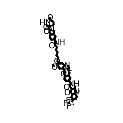 COc1cc2c(Oc3ccc(NC(=O)c4c(C)n(C)c5ccc(OC(F)(F)F)cc5c4=O)cc3F)ncnc2cc1OCCCCCC(=O)Nc1ccc2c(c1)CN(C1CCC(=O)NC1=O)C2=O